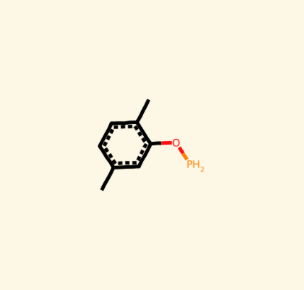 Cc1ccc(C)c(OP)c1